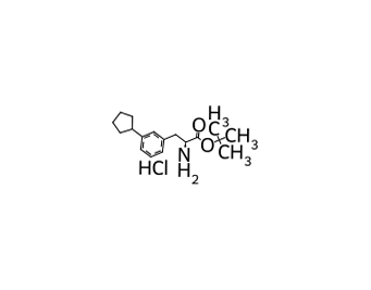 CC(C)(C)OC(=O)[C@@H](N)Cc1cccc(C2CCCC2)c1.Cl